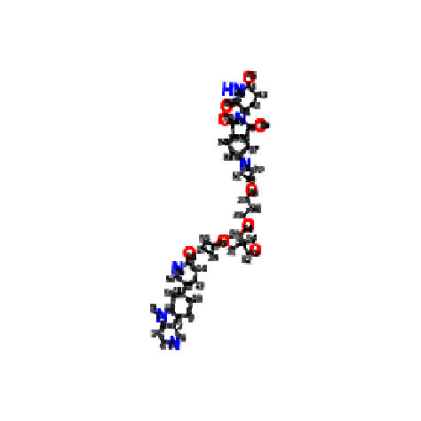 Cn1c2ccncc2c2ccc(-c3ccc(O[C@H]4C[C@H](OCC5(COCCCOC6CN(c7ccc8c(c7)C(=O)N(C7CCC(=O)NC7=O)C8=O)C6)COC5)C4)nc3)cc21